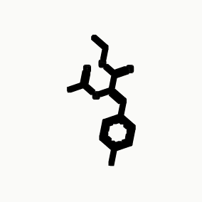 CCOC(=O)/C(=C/c1ccc(C)cc1)OC(C)=O